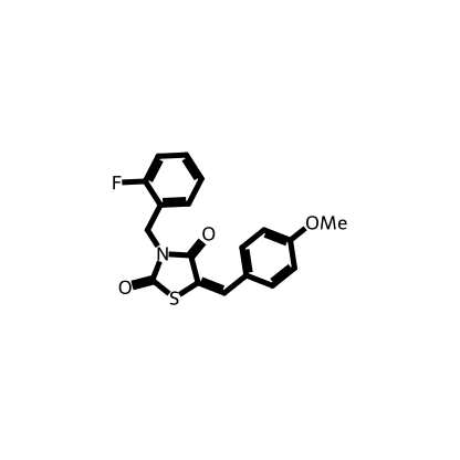 COc1ccc(C=C2SC(=O)N(Cc3ccccc3F)C2=O)cc1